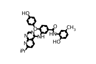 Cc1ccc(O)c(NC(=O)c2ccc(Oc3ccc(O)cc3)c(Nc3ncnc4nc(C(C)C)ccc34)c2)c1